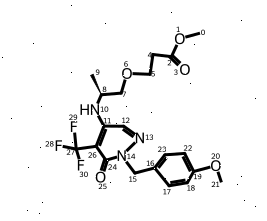 COC(=O)CCOC[C@H](C)Nc1cnn(Cc2ccc(OC)cc2)c(=O)c1C(F)(F)F